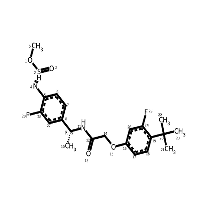 CO[SH](=O)=Nc1ccc([C@@H](C)NC(=O)COc2ccc(C(C)(C)C)c(F)c2)cc1F